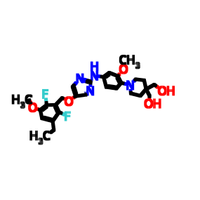 CCc1cc(OC)c(F)c(COc2cnc(Nc3ccc(N4CCC(CO)(CO)CC4)c(OC)c3)nc2)c1F